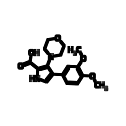 COc1ccc(-c2c[nH]c(C(=O)O)c2N2CCOCC2)cc1OC